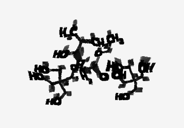 C=C(C)C(=O)O.CCOC(N)=O.OCC(CO)(CO)CO.OCC(CO)(CO)CO